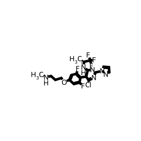 CNCCCOc1cc(F)c(C2C(Cl)=NC(n3cccn3)=NC2N[C@@H](C)C(F)(F)F)c(F)c1